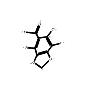 O=C(F)c1c(F)c2c(c(F)c1Cl)OCO2